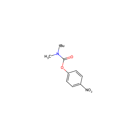 CN(C(=O)Oc1ccc([N+](=O)[O-])cc1)C(C)(C)C